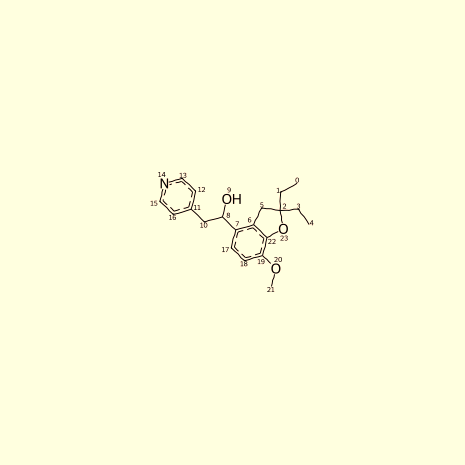 CCC1(CC)Cc2c(C(O)Cc3ccncc3)ccc(OC)c2O1